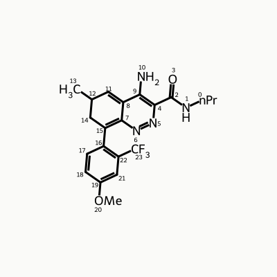 CCCNC(=O)c1nnc2c(c1N)=CC(C)CC=2c1ccc(OC)cc1C(F)(F)F